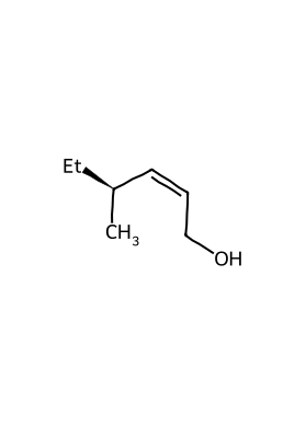 [CH2]C[C@H](C)/C=C\CO